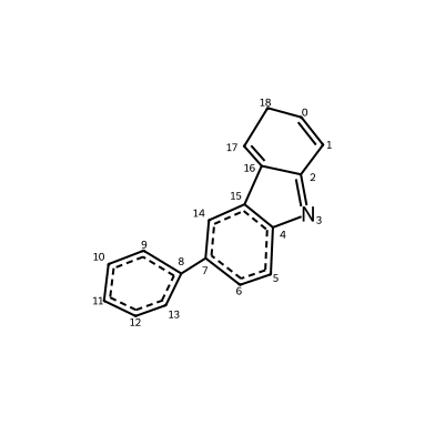 C1=CC2=Nc3ccc(-c4ccccc4)cc3C2=CC1